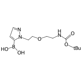 CC(C)(C)OC(=O)NCCOCCn1nccc1B(O)O